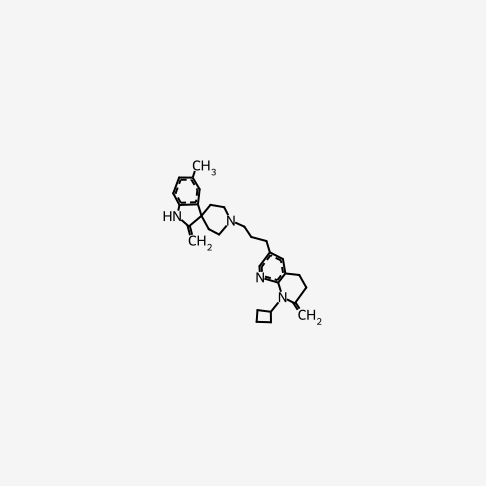 C=C1CCc2cc(CCCN3CCC4(CC3)C(=C)Nc3ccc(C)cc34)cnc2N1C1CCC1